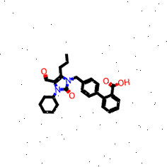 CCCc1c(C=O)n(C2CCCCC2)c(=O)n1Cc1ccc(-c2ccccc2C(=O)O)cc1